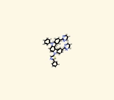 c1ccc(-c2ncc(-n3c4ccc(-c5ncccn5)cc4c4c5c6cc(-c7ncccn7)ccc6n(-c6ccccc6)c5ccc43)s2)cc1